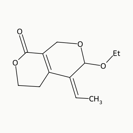 C/C=C1/C2=C(COC1OCC)C(=O)OCC2